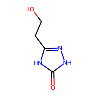 O=c1[nH]nc(CCO)[nH]1